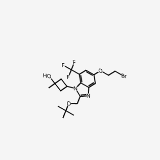 CC1(O)CC(n2c(COC(C)(C)C)nc3cc(OCCBr)cc(C(F)(F)F)c32)C1